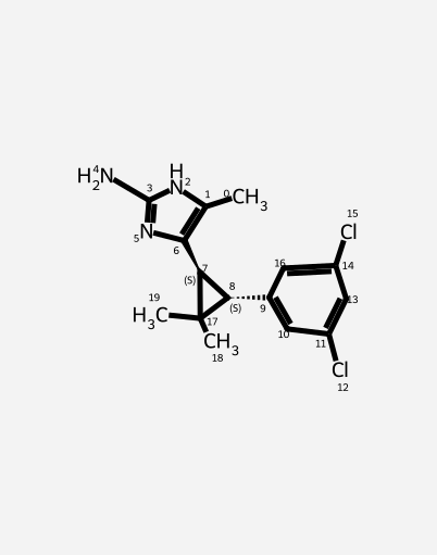 Cc1[nH]c(N)nc1[C@H]1[C@H](c2cc(Cl)cc(Cl)c2)C1(C)C